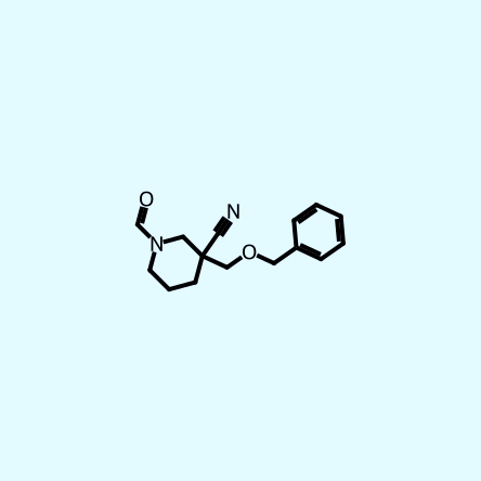 N#CC1(COCc2ccccc2)CCCN(C=O)C1